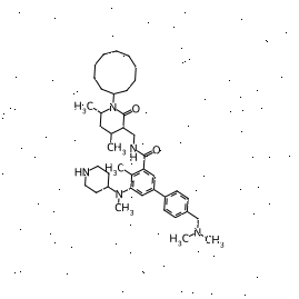 Cc1c(C(=O)NCC2C(=O)N(C3CCCCCCCCC3)C(C)CC2C)cc(-c2ccc(CN(C)C)cc2)cc1N(C)C1CCNCC1